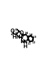 CC(=O)C(C=O)NC1=NNc2ccccc2C=C1